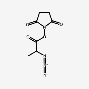 CC(N=[N+]=[N-])C(=O)ON1C(=O)CCC1=O